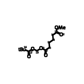 COC(=O)CCCCC(=O)OCOC(=O)C(C)(C)C